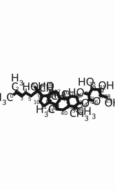 CC(C)=CCC[C@](C)(O)C1CC[C@]2(C)C1[C@H](O)CC1[C@@]3(C)CCC(O[C@@H]4OC(CO)[C@@H](O)[C@H](O)C4O)C(C)(C)C3CC[C@]12C